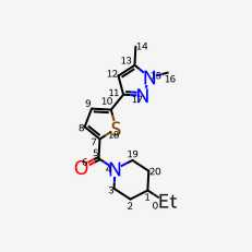 CCC1CCN(C(=O)c2ccc(-c3cc(C)n(C)n3)s2)CC1